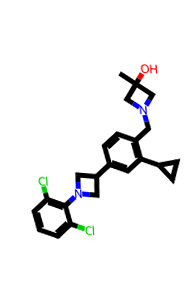 CC1(O)CN(Cc2ccc(C3CN(c4c(Cl)cccc4Cl)C3)cc2C2CC2)C1